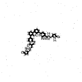 CNc1nc(-c2cccc(-c3cccc(-c4ccn5c(=O)c(CNC[C@H]6CCC(=O)N6)cnc5c4)c3C)c2Cl)ccc1CNC[C@H]1CCC(=O)N1